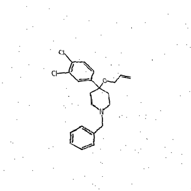 C=CCOC1(c2ccc(Cl)c(Cl)c2)CCN(Cc2ccccc2)CC1